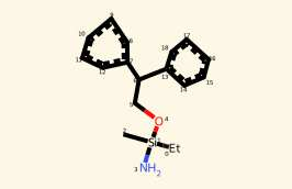 CC[Si](C)(N)OCC(c1ccccc1)c1ccccc1